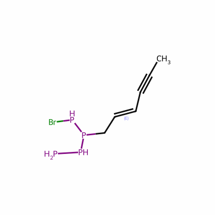 CC#C/C=C/CP(PP)PBr